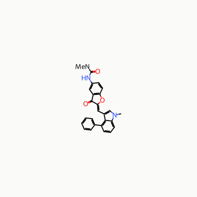 CNC(=O)Nc1ccc2c(c1)C(=O)C(=Cc1cn(C)c3cccc(-c4ccccc4)c13)O2